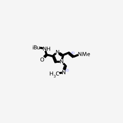 CCC(C)NC(=O)c1cn(/C=N\C)c(/C=C/NC)n1